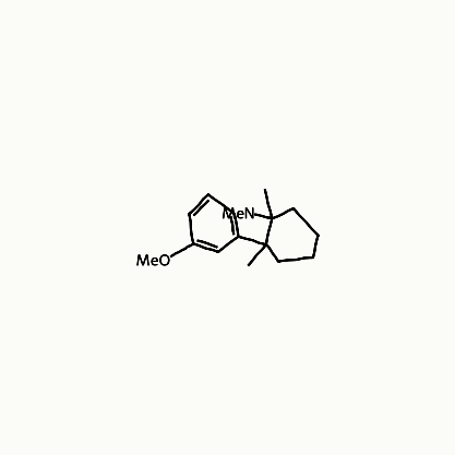 CNC1(C)CCCCC1(C)c1cccc(OC)c1